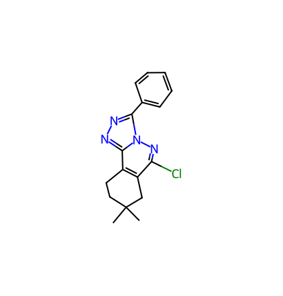 CC1(C)CCc2c(c(Cl)nn3c(-c4ccccc4)nnc23)C1